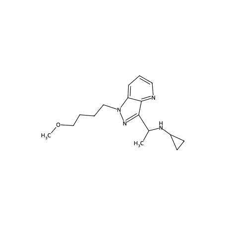 COCCCCn1nc(C(C)NC2CC2)c2ncccc21